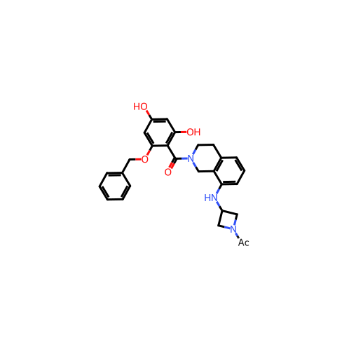 CC(=O)N1CC(Nc2cccc3c2CN(C(=O)c2c(O)cc(O)cc2OCc2ccccc2)CC3)C1